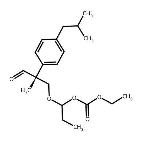 CCOC(=O)OC(CC)OC[C@](C)(C=O)c1ccc(CC(C)C)cc1